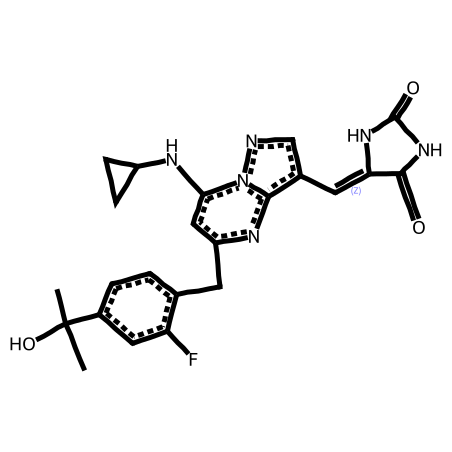 CC(C)(O)c1ccc(Cc2cc(NC3CC3)n3ncc(/C=C4\NC(=O)NC4=O)c3n2)c(F)c1